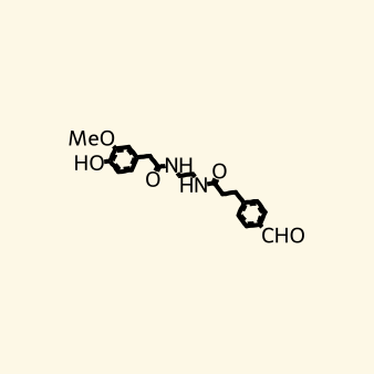 COc1cc(CC(=O)NCCNC(=O)CCc2ccc(C=O)cc2)ccc1O